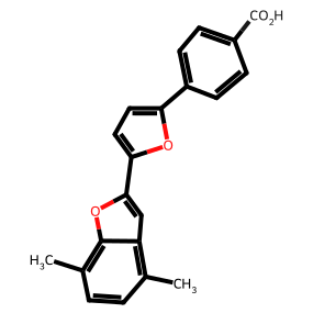 Cc1ccc(C)c2oc(-c3ccc(-c4ccc(C(=O)O)cc4)o3)cc12